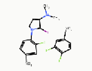 CN(C)C1CCN(c2ccc([N+](=O)[O-])cc2F)C1I.O=[N+]([O-])c1ccc(F)c(F)c1